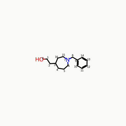 OCCC1CCCN(Cc2ccccc2)CC1